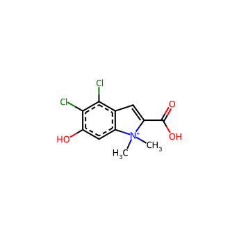 C[N+]1(C)C(C(=O)O)=Cc2c1cc(O)c(Cl)c2Cl